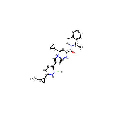 C[C@@H]1c2ccccc2CCN1C(=O)c1cc(C2CC2)n2cc(-c3ccc(C4CC4C(=O)O)nc3F)cc2n1